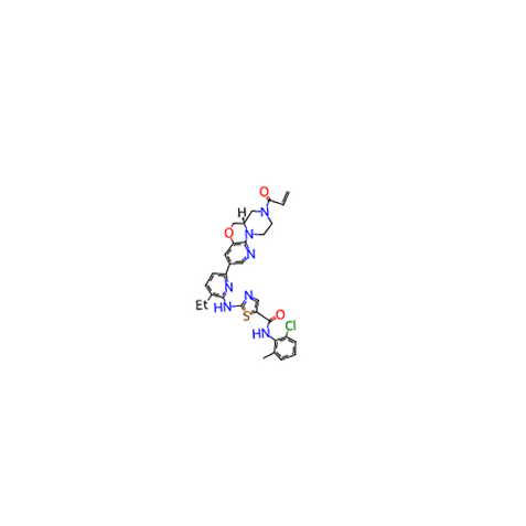 C=CC(=O)N1CCN2c3ncc(-c4ccc(CC)c(Nc5ncc(C(=O)Nc6c(C)cccc6Cl)s5)n4)cc3OC[C@@H]2C1